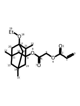 C=CC(=O)OCC(=O)OC12CC3(C)CC(C)(CC(OCC)(C3)C1C)C2